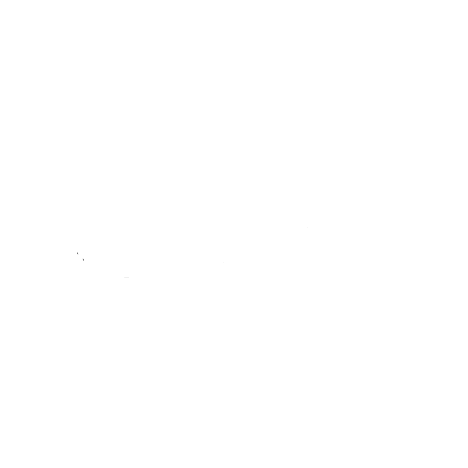 CCCCC1=Cc2cc(-c3ccc(CCc4cc(F)c(C#N)c(F)c4)c(F)c3)ccc2C1